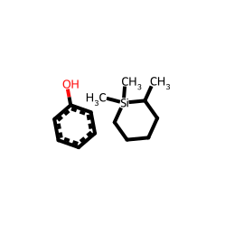 CC1CCCC[Si]1(C)C.Oc1ccccc1